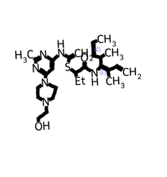 C=C/C(C)=C(/NC(=O)C(CC)SC(=C)Nc1cc(N2CCN(CCO)CC2)nc(C)n1)C(C)/C=C\C